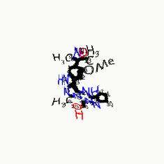 COc1cc2c(cc1-c1c(C)noc1C)[nH]c1nc(C)nc(Nc3c4c(nn3CCO)CCC4)c12